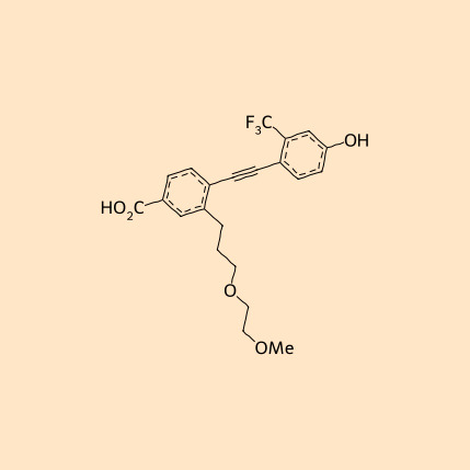 COCCOCCCc1cc(C(=O)O)ccc1C#Cc1ccc(O)cc1C(F)(F)F